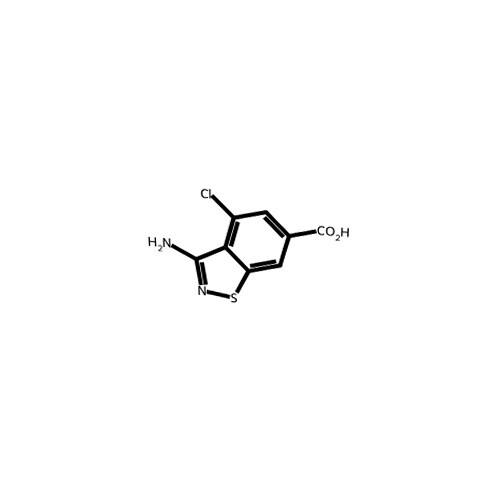 Nc1nsc2cc(C(=O)O)cc(Cl)c12